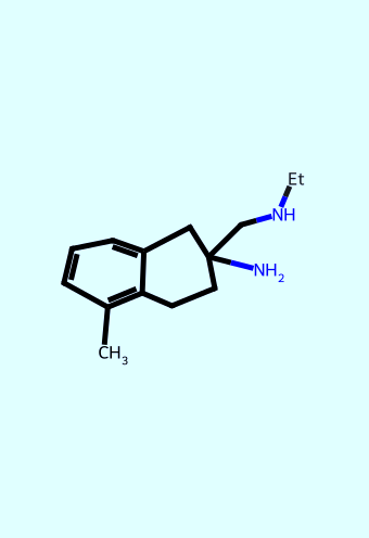 CCNCC1(N)CCc2c(C)cccc2C1